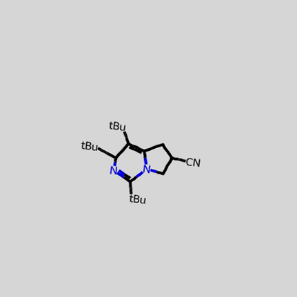 CC(C)(C)C1=NC(C(C)(C)C)C(C(C)(C)C)=C2CC(C#N)CN12